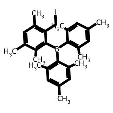 Cc1cc(C)c(B(c2c(C)cc(C)cc2C)c2c(C)c(C)cc(C)c2CI)c(C)c1